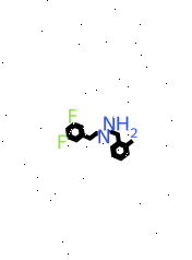 Cc1ccccc1CC(N)=NCCc1cc(F)cc(F)c1